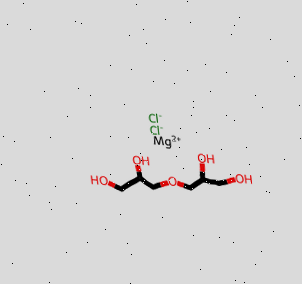 OCC(O)COCC(O)CO.[Cl-].[Cl-].[Mg+2]